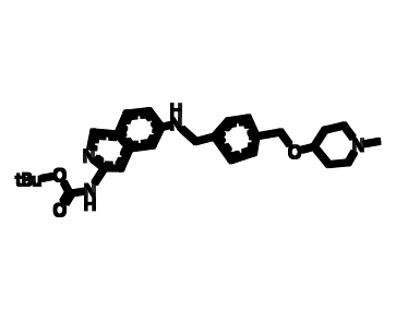 CN1CCC(OCc2ccc(CNc3ccc4cnc(NC(=O)OC(C)(C)C)cc4c3)cc2)CC1